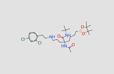 CC(=O)NC(CCCCB1OC(C)(C)C(C)(C)O1)(CCCNCCc1ccc(Cl)cc1Cl)C(=O)NC(C)(C)C